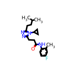 Cc1cc(F)ccc1NC(=O)CCc1nnc(CCC(C)C)n1C1CC1